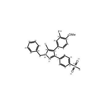 COc1ccc(-c2c(-c3ccc(S(C)(=O)=O)cc3)nn(Cc3ccccc3)c2C)cc1F